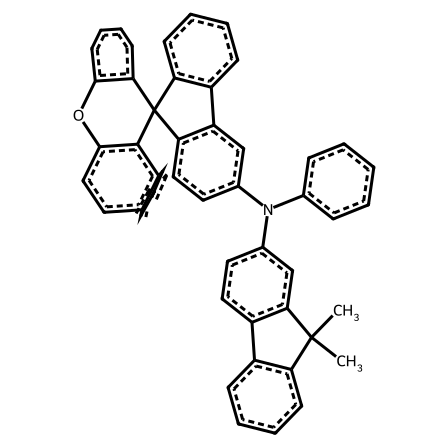 CC1(C)c2ccccc2-c2ccc(N(c3ccccc3)c3ccc4c(c3)-c3ccccc3C43c4ccccc4Oc4ccc5ccccc5c43)cc21